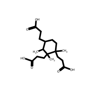 CC1C(CCC(=O)O)CCC(C)(CCC(=O)O)C1(C)CCC(=O)O